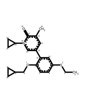 CCSc1ccc(OCC2CC2)c(-c2cc(C)c(=O)n(C3CC3)c2)c1